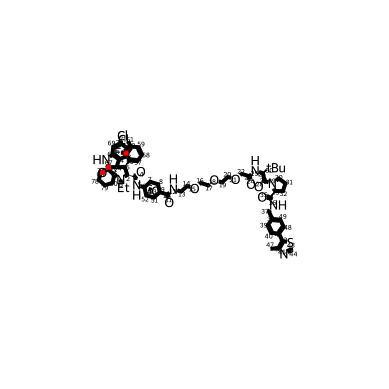 CCN1[C@@H](C(=O)NC23CCC(C(=O)NCCOCCOCCOCC(=O)N[C@H](C(=O)N4CCC[C@H]4C(=O)NCc4ccc(-c5scnc5C)cc4)C(C)(C)C)(CC2)CC3)[C@H](c2cccc(Cl)c2F)[C@]2(C(=O)Nc3cc(Cl)ccc32)C12CCCCC2